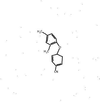 Cc1ccc(OC2C=CC(C#N)=CC2)c(C)c1